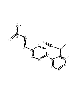 CC(C#N)c1ccccc1-c1ccc(C=CC(=O)O)cc1